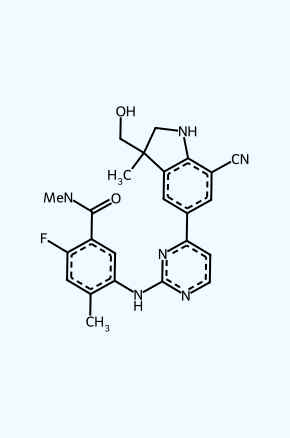 CNC(=O)c1cc(Nc2nccc(-c3cc(C#N)c4c(c3)C(C)(CO)CN4)n2)c(C)cc1F